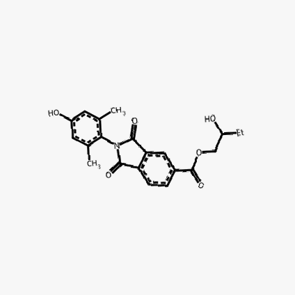 CCC(O)COC(=O)c1ccc2c(c1)C(=O)N(c1c(C)cc(O)cc1C)C2=O